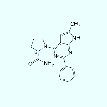 Cc1cc2c(N3CCC[C@H]3C(N)=O)nc(-c3ccccc3)nc2[nH]1